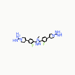 CCn1c(-c2ccc(C3=CCN(C(=N)N)CC3)cc2F)nnc1-c1ccc(C2=CCN(C(=N)N)CC2)cc1F